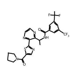 CC(NC(=O)c1cc(C(C)(F)F)cc(C(F)(F)F)c1)c1nccnc1-c1ncc(C(=O)N2CCCC2)s1